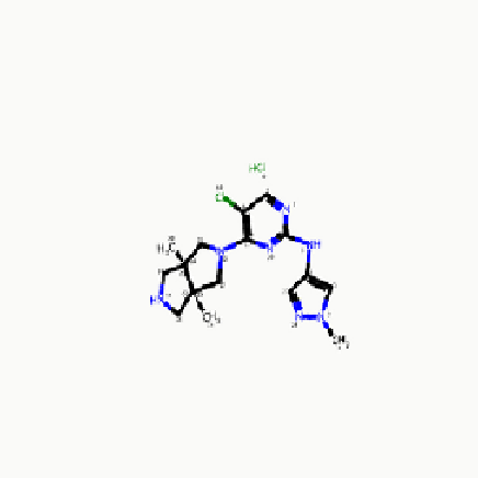 Cl.Cn1cc(Nc2ncc(Cl)c(N3C[C@]4(C)CNC[C@]4(C)C3)n2)cn1